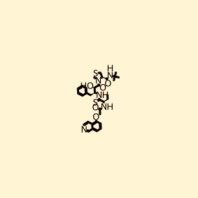 CC[C@@H](NC(=O)COc1cccc2cnccc12)C(=S)N[C@@H](Cc1ccccc1)[C@H](O)C(=O)N1CSC[C@H]1C(=O)NC(C)(C)C